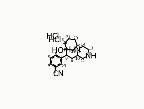 Cl.Cl.N#Cc1cccc(C(CC2CNCCN2)C2(O)CCCCC2)c1